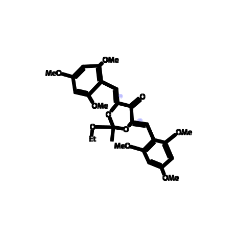 CCOC1(C)O/C(=C\c2c(OC)cc(OC)cc2OC)C(=O)/C(=C/c2c(OC)cc(OC)cc2OC)O1